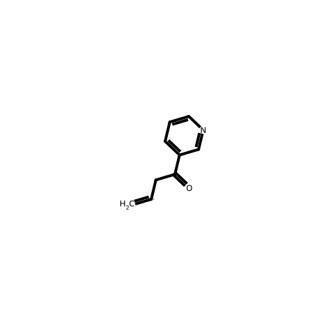 C=[C]CC(=O)c1cccnc1